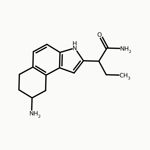 CCC(C(N)=O)c1cc2c3c(ccc2[nH]1)CCC(N)C3